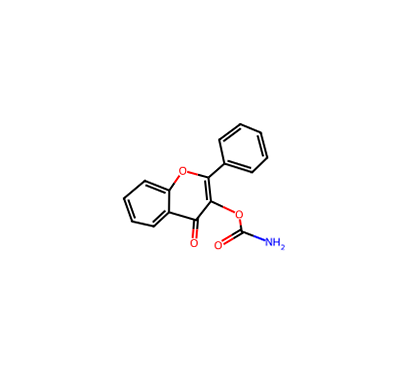 NC(=O)Oc1c(-c2ccccc2)oc2ccccc2c1=O